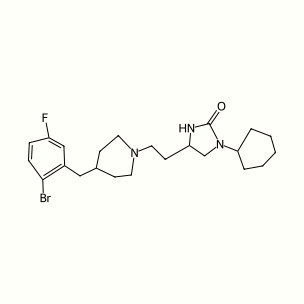 O=C1NC(CCN2CCC(Cc3cc(F)ccc3Br)CC2)CN1C1CCCCC1